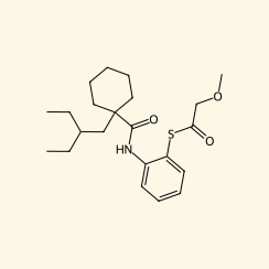 CCC(CC)CC1(C(=O)Nc2ccccc2SC(=O)COC)CCCCC1